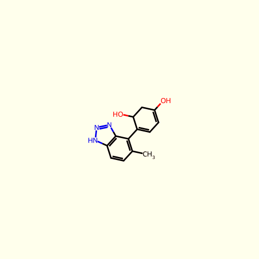 Cc1ccc2[nH]nnc2c1C1=CC=C(O)CC1O